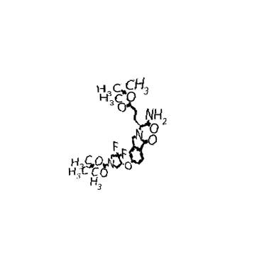 CC(C)(C)OC(=O)CC[C@@H](C(N)=O)N1Cc2cc(O[C@@H]3CN(C(=O)OC(C)(C)C)CC3(F)F)ccc2C1=O